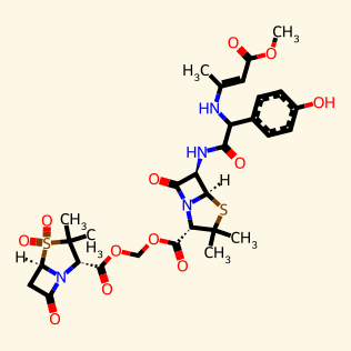 COC(=O)C=C(C)NC(C(=O)N[C@@H]1C(=O)N2[C@@H]1SC(C)(C)[C@@H]2C(=O)OCOC(=O)[C@@H]1N2C(=O)C[C@H]2S(=O)(=O)C1(C)C)c1ccc(O)cc1